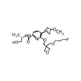 COC1CN(c2ccc(C(=O)N[C@@H](C)CO)nc2OCC2(COCCCF)COC2)C1